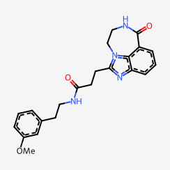 COc1cccc(CCNC(=O)CCc2nc3cccc4c3n2CCNC4=O)c1